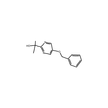 CC(C)(O)c1ncc(OCc2ccccc2)cn1